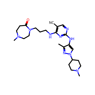 Cc1nn(C2CCN(C)CC2)cc1Nc1ncc(C#N)c(NCCCN2CCN(C)CCC2=O)n1